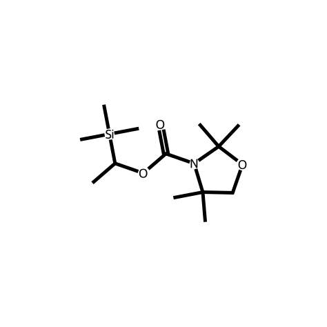 CC(OC(=O)N1C(C)(C)COC1(C)C)[Si](C)(C)C